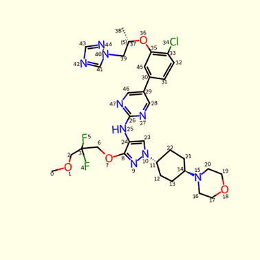 COCC(F)(F)COc1nn([C@H]2CC[C@H](N3CCOCC3)CC2)cc1Nc1ncc(-c2ccc(Cl)c(O[C@@H](C)Cn3cncn3)c2)cn1